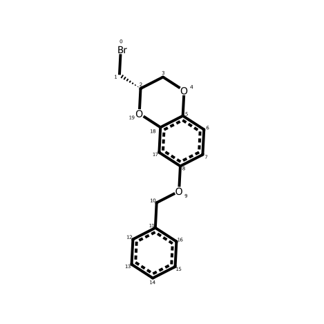 BrC[C@@H]1COc2ccc(OCc3ccccc3)cc2O1